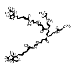 C=CC(=O)NCCN(CCN(CCNC(=O)C=C)C(=O)CCNCCNC(=O)CCCC[C@H]1SC[C@H]2NC(=O)N[C@H]21)C(=O)CCNCCNC(=O)CCCC[C@H]1SC[C@H]2NC(=O)N[C@H]21